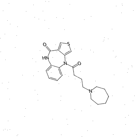 O=C1Nc2ccccc2N(C(=O)CCCN2CCCCCC2)c2cscc21